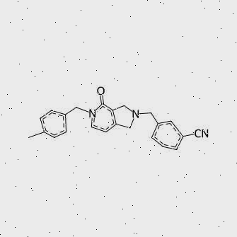 Cc1ccc(Cn2ccc3c(c2=O)CN(Cc2cccc(C#N)c2)C3)cc1